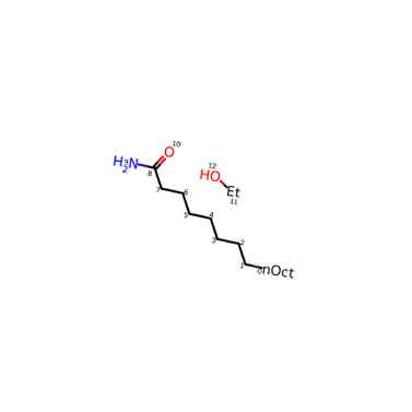 CCCCCCCCCCCCCCCC(N)=O.CCO